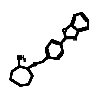 NC1CCCCCC1OCc1ccc(-c2nc3ccccc3o2)cc1